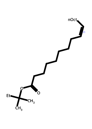 CCCCCCCC/C=C\CCCCCCCC(=O)OC(C)(C)CC